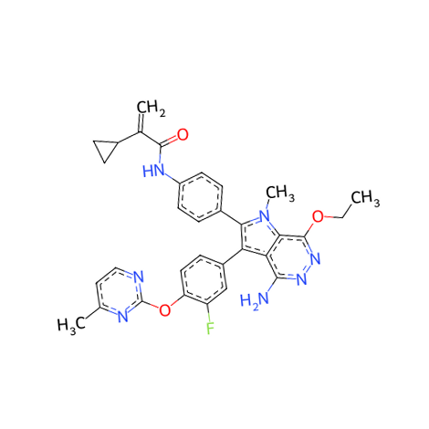 C=C(C(=O)Nc1ccc(-c2c(-c3ccc(Oc4nccc(C)n4)c(F)c3)c3c(N)nnc(OCC)c3n2C)cc1)C1CC1